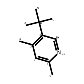 Cc1cc(C)c(C(C)(C)C)cn1